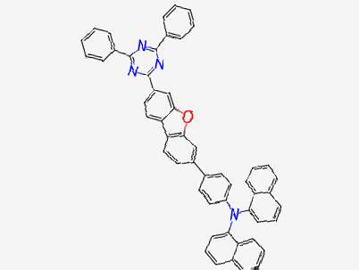 c1ccc(-c2nc(-c3ccccc3)nc(-c3ccc4c(c3)oc3cc(-c5ccc(N(c6cccc7ccccc67)c6cccc7ccccc67)cc5)ccc34)n2)cc1